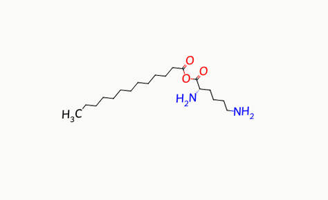 CCCCCCCCCCCCC(=O)OC(=O)[C@@H](N)CCCCN